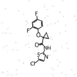 O=C(Nc1ncc(Cl)s1)C1(Oc2ccc(F)cc2F)CC1